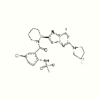 Cc1cc(N2CC[C@H](C)C2)nc2cc([C@@H]3CCCCN3C(=O)c3cc(Cl)ccc3NS(C)(=O)=O)nn12